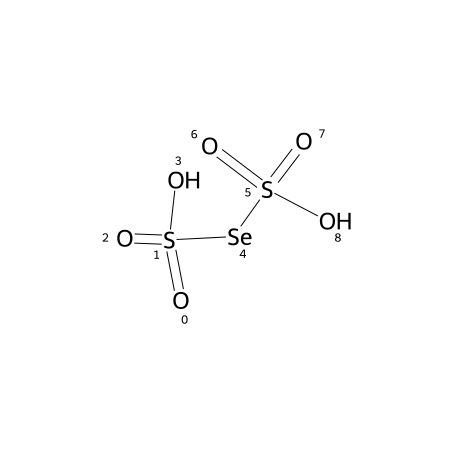 O=S(=O)(O)[Se]S(=O)(=O)O